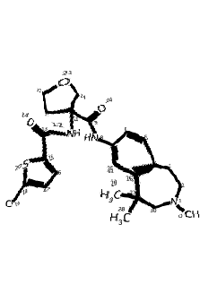 CN1CCc2ccc(NC(=O)C3(NC(=O)c4ccc(Cl)s4)CCOC3)cc2C(C)(C)C1